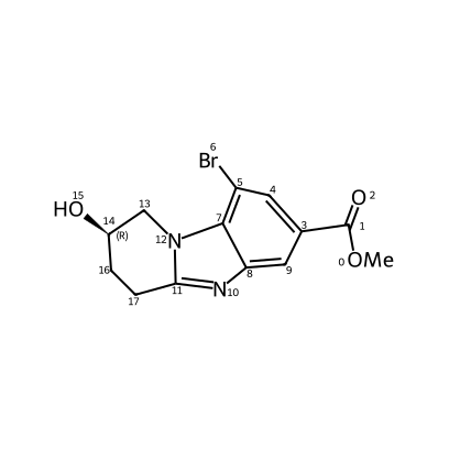 COC(=O)c1cc(Br)c2c(c1)nc1n2C[C@H](O)CC1